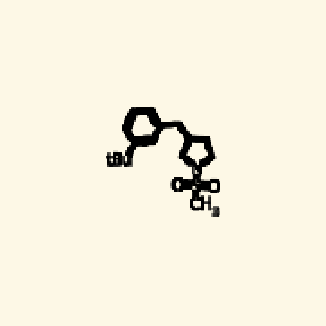 CC(C)(C)c1cccc(CC2CCN(S(C)(=O)=O)C2)c1